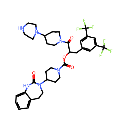 O=C(OC(Cc1cc(C(F)(F)F)cc(C(F)(F)F)c1)C(=O)N1CCC(N2CCNCC2)CC1)N1CCC(N2CCc3ccccc3NC2=O)CC1